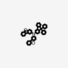 c1ccc(C2(c3ccccc3)c3ccccc3-c3cc(N(c4ccc5oc6ccccc6c5c4)c4ccc5oc6ccccc6c5c4)ccc32)cc1